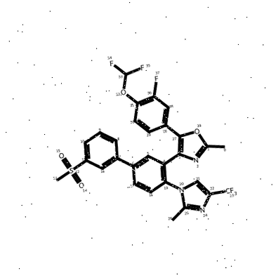 Cc1nc(-c2cc(-c3cccc(S(C)(=O)=O)c3)ccc2-n2cc(C(F)(F)F)nc2C)c(-c2ccc(OC(F)F)c(F)c2)o1